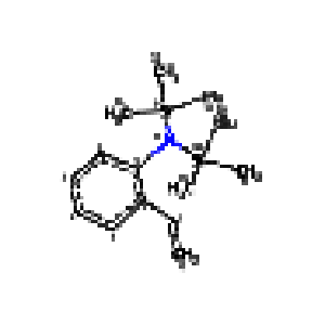 C=Cc1ccccc1N([Si](C)(C)C(C)(C)C)[Si](C)(C)C(C)(C)C